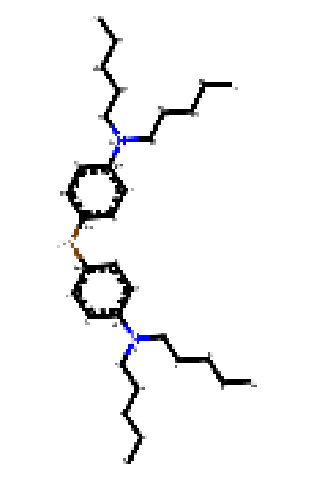 CCCCCN(CCCCC)c1ccc(Sc2ccc(N(CCCCC)CCCCC)cc2)cc1